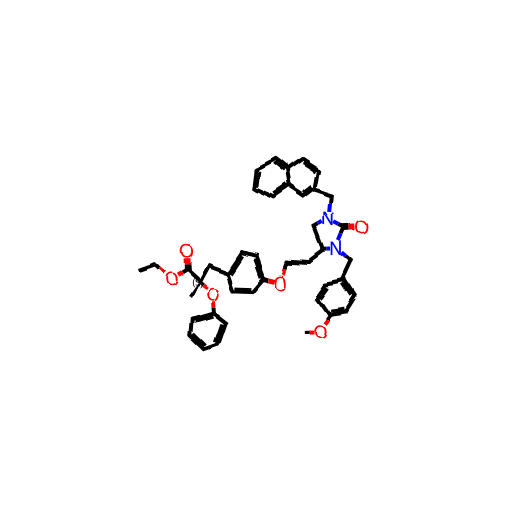 CCOC(=O)[C@](C)(Cc1ccc(OCCC2CN(Cc3ccc4ccccc4c3)C(=O)N2Cc2ccc(OC)cc2)cc1)Oc1ccccc1